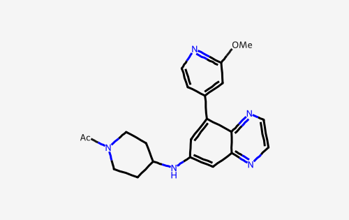 COc1cc(-c2cc(NC3CCN(C(C)=O)CC3)cc3nccnc23)ccn1